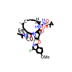 CC[C@@H]1C[C@H](C)CCC=C[C@@H]2C[C@@]2(C(=O)NS(=O)(=O)C2(C)CC2)NC(=O)[C@@H]2C[C@@H](Oc3ncc(F)c4cc(OC)ccc34)CN2C(=O)[C@H]1N(C(=O)O)C(C)(C)C(F)(F)F